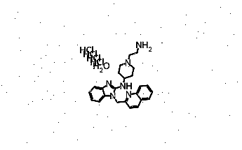 Cl.Cl.Cl.Cl.NCCN1CCC(Nc2nc3ccccc3n2Cc2ccc3ccccc3n2)CC1.O